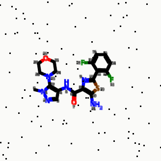 Cn1ncc(NC(=O)c2nc(-c3c(F)cccc3F)sc2N)c1N1CCOCC1